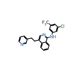 FC(F)(F)c1cc(Cl)cc(Nc2ncc(CCc3cccnc3)c3ccccc23)c1